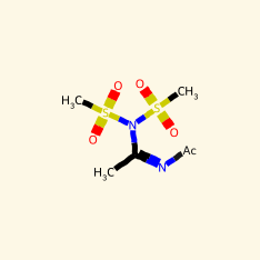 CC(=O)N=C(C)N(S(C)(=O)=O)S(C)(=O)=O